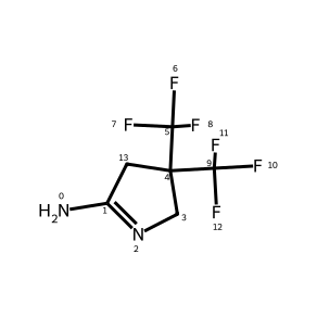 NC1=NCC(C(F)(F)F)(C(F)(F)F)C1